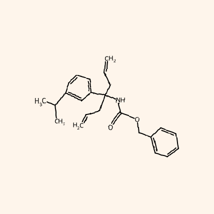 C=CCC(CC=C)(NC(=O)OCc1ccccc1)c1cccc(C(C)C)c1